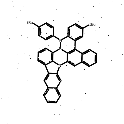 CC(C)(C)c1ccc(N2B3c4c(cc5ccccc5c4-c4cc(C(C)(C)C)ccc42)-n2c4cc5ccccc5cc4c4cccc3c42)cc1